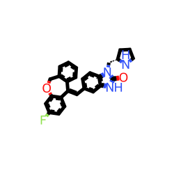 O=c1[nH]c2cc(/C=C3\c4ccccc4COc4cc(F)ccc43)ccc2n1C[C@@H]1CCCN1